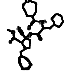 COC(=O)C1N(Cc2ccccc2)CCC1(C#N)NC(=O)C(CC1CCCCC1)NC(=O)N1CCOCC1